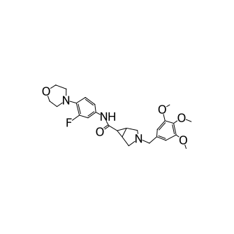 COc1cc(CN2CC3C(C2)C3C(=O)Nc2ccc(N3CCOCC3)c(F)c2)cc(OC)c1OC